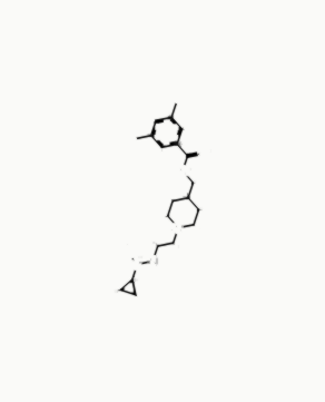 Cc1cc(C)cc(C(=O)NCC2CCN(CCNP(O)C3CC3)CC2)c1